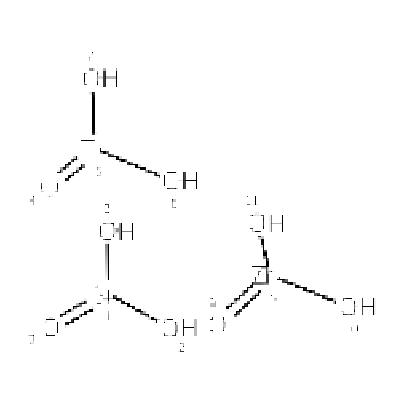 O=[Si](O)O.[O]=[Ti]([OH])[OH].[O]=[Zr]([OH])[OH]